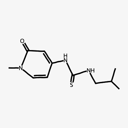 CC(C)CNC(=S)Nc1ccn(C)c(=O)c1